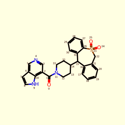 O=C(c1cncc2cc[nH]c12)N1CCC(C2c3ccccc3CS(=O)(=O)c3ccccc32)CC1